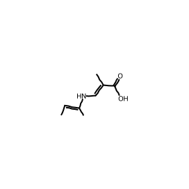 C/C=C(\C)N/C=C(\C)C(=O)O